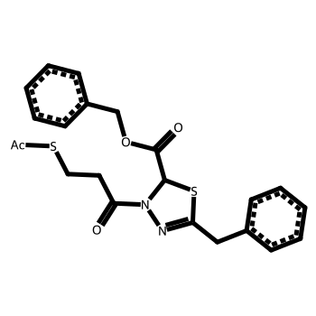 CC(=O)SCCC(=O)N1N=C(Cc2ccccc2)SC1C(=O)OCc1ccccc1